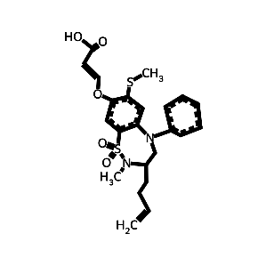 C=CCCC1CN(c2ccccc2)c2cc(SC)c(O/C=C/C(=O)O)cc2S(=O)(=O)N1C